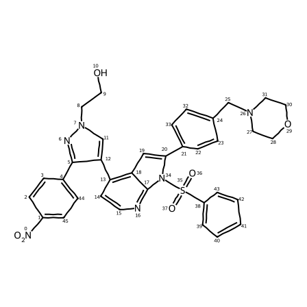 O=[N+]([O-])c1ccc(-c2nn(CCO)cc2-c2ccnc3c2cc(-c2ccc(CN4CCOCC4)cc2)n3S(=O)(=O)c2ccccc2)cc1